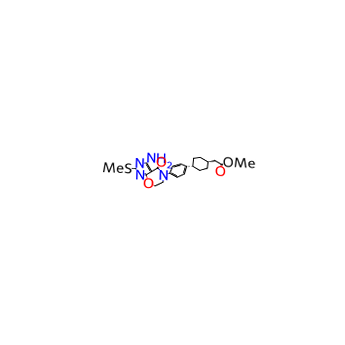 COC(=O)C[C@H]1CC[C@H](c2ccc(N3CCOc4nc(SC)nc(N)c4C3=O)cc2)CC1